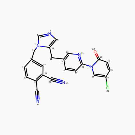 N#Cc1ccc(Cn2cncc2Cc2ccc(-n3cc(Cl)ccc3=O)nc2)cc1C#N